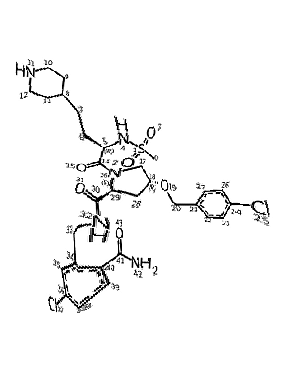 CS(=O)(=O)N[C@H](CCC1CCNCC1)C(=O)N1C[C@H](OCc2ccc(Cl)cc2)C[C@H]1C(=O)NCc1cc(Cl)ccc1C(N)=O